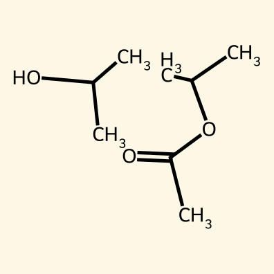 CC(=O)OC(C)C.CC(C)O